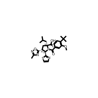 COc1cc(C(=O)N2[C@@H](c3nccs3)[C@H](c3nc(C)no3)C[C@@]2(CC(C)C)C(=O)O)ccc1C(C)(C)C